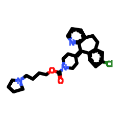 O=C(OCCCCN1CCCC1)N1CCC(=C2c3ccc(Cl)cc3CCc3cccnc32)CC1